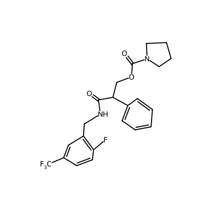 O=C(NCc1cc(C(F)(F)F)ccc1F)C(COC(=O)N1CCCC1)c1ccccc1